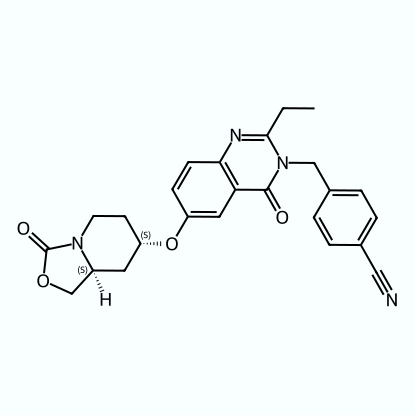 CCc1nc2ccc(O[C@H]3CCN4C(=O)OC[C@@H]4C3)cc2c(=O)n1Cc1ccc(C#N)cc1